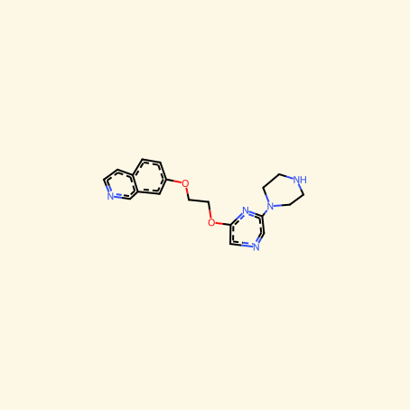 c1cc2ccc(OCCOc3cncc(N4CCNCC4)n3)cc2cn1